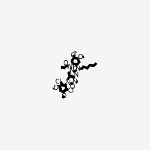 C=CC(=O)NC1CC(OC)C(OC)CC1N(CCCCCC)c1ncc2c(n1)N(C)C(=O)N(c1c(Cl)c(OC)cc(OC)c1Cl)C2